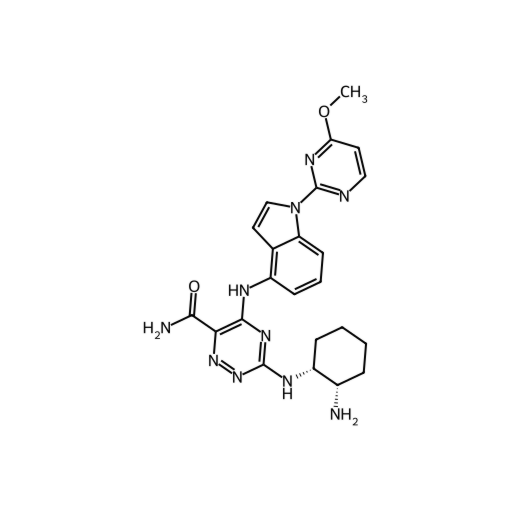 COc1ccnc(-n2ccc3c(Nc4nc(N[C@@H]5CCCC[C@@H]5N)nnc4C(N)=O)cccc32)n1